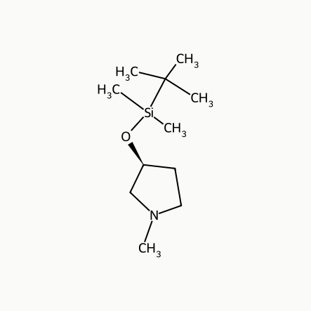 CN1CC[C@H](O[Si](C)(C)C(C)(C)C)C1